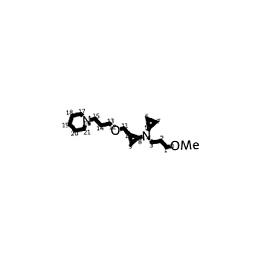 COCCCN(C1CC1)C1CC1COCCCN1CCCCC1